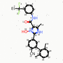 CCC(F)(F)c1cccc(NC(=O)c2c(C)[nH]c(-c3ccc(C#N)c(-c4c(C)cccc4C)c3)[n+]2O)c1